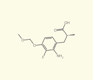 COCOc1ccc(C[C@H](C)C(=O)O)c(N)c1F